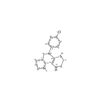 Clc1ccc(N(Cc2cccnc2)C2=CNCCS2)cc1